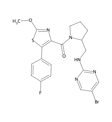 COc1nc(C(=O)N2CCCC2CNc2ncc(Br)cn2)c(-c2ccc(F)cc2)s1